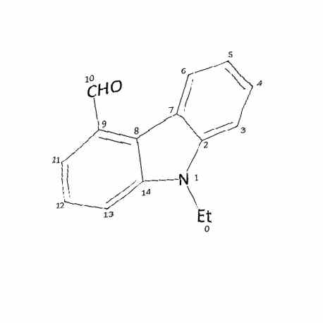 CCn1c2ccccc2c2c(C=O)cccc21